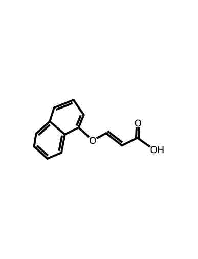 O=C(O)C=COc1cccc2ccccc12